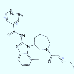 Cc1cccc2nc(NC(=O)C(/C=C\N)=C/N)n(C3CCCCN(C(=O)/C=C/CN)C3)c12